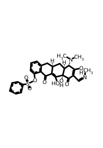 C/N=C\C1=C(O)[C@@H](N(C)C)[C@@H]2C[C@@H]3Cc4cccc(OS(=O)(=O)c5ccccc5)c4C(=O)C3=C(O)[C@]2(O)C1=O